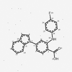 O=C(O)c1ccc(-n2ccc3ccccc32)cc1Nc1ccc(F)cc1